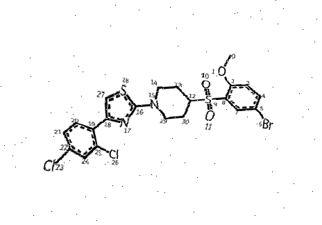 COc1ccc(Br)cc1S(=O)(=O)C1CCN(c2nc(-c3ccc(Cl)cc3Cl)cs2)CC1